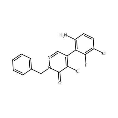 Nc1ccc(Cl)c(F)c1-c1cnn(Cc2ccccc2)c(=O)c1Cl